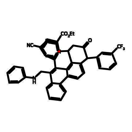 CCOC(=O)c1nccc(-c2c(CNc3ccccc3)c3ccccc3c3ccc4c(c23)C(c2ccc(C#N)cc2)CC(=O)C4c2cccc(C(F)(F)F)c2)n1